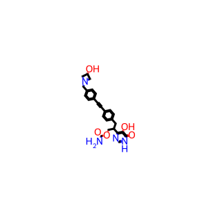 NC(=O)OCC(Cc1ccc(C#Cc2ccc(CN3CC(O)C3)cc2)cc1)c1nc[nH]c(=O)c1O